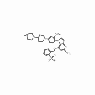 COc1cc(N2CCC(N3CCN(C)CC3)CC2)ccc1-n1ccc2nc(N)nc(NCc3ccccc3S(=O)(=O)C(C)C)c21